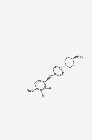 CCCCCC[C@H]1CC[C@H](c2ccc(C#Cc3ccc(OC)c(F)c3F)cc2)CC1